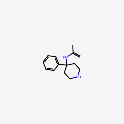 C=C(C)NC1(c2ccccc2)CCNCC1